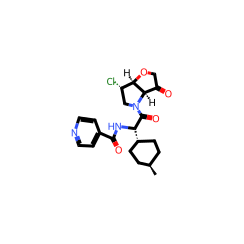 C[C@H]1CC[C@H](C(NC(=O)c2ccncc2)C(=O)N2C[C@H](Cl)[C@H]3OCC(=O)[C@H]32)CC1